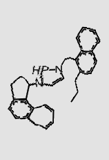 CCCc1ccc2ccccc2c1CN1C=CN(C2CCc3ccc4c(c32)C=CC=CC4)P1